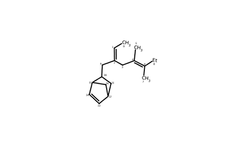 CC=C(CC(C)=C(C)CC)CC1CC2C=CC1C2